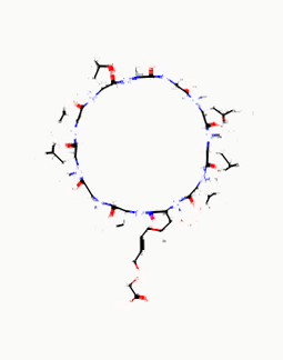 CC[C@@H]1NC(=O)C([C@H](O)[C@H](C)C/C=C/COCC(=O)O)N(C)C(=O)[C@H](C(C)C)N(C)C(=O)[C@H](CC(C)C)N(C)C(=O)[C@H](CC(C)C)N(C)C(=O)[C@H](C)NC(=O)[C@H](C)NC(=O)[C@H](CC(C)C)N(C)C(=O)[C@H](C(C)C)NC(=O)[C@H](CC(C)C)N(C)C(=O)CN(C)C1=O